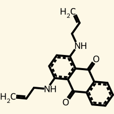 C=CCNc1ccc(NCC=C)c2c1C(=O)c1ccccc1C2=O